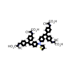 [C-]#[N+]/C(=C\c1ccc(C(=Cc2ccc(N(c3ccc(C=C(c4ccc(/C=C(\[N+]#[C-])C(=O)O)cc4)c4ccc(/C=C(\[N+]#[C-])C(=O)O)cc4)cc3)c3cccs3)cc2)c2ccc(/C=C(\[N+]#[C-])C(=O)O)cc2)cc1)C(=O)O